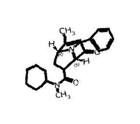 CC1=CC(=O)[C@@H]2C(C(=O)N(C)C3CCCCC3)C[C@H]1N2Cc1ccccc1